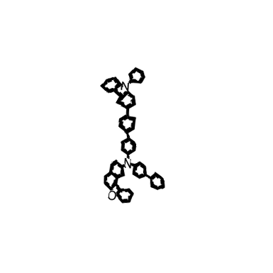 c1ccc(-c2ccc(N(c3ccc(-c4ccc(-c5ccc6c(c5)c5ccccc5n6-c5ccccc5)cc4)cc3)c3ccc4ccc5oc6ccccc6c5c4c3)cc2)cc1